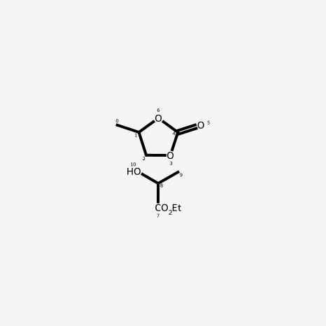 CC1COC(=O)O1.CCOC(=O)C(C)O